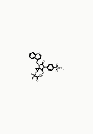 O=C(O)C(F)(F)F.O=C1N(c2ccc(S(=O)(=O)C(F)(F)F)cc2)C(=O)C2(CC2)N1Cc1ccnc2ccccc12